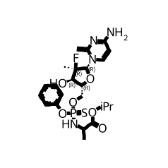 C=C1N=C(N)C=CN1[C@@H]1O[C@H](COP(=S)(NC(C)C(=O)OC(C)C)Oc2ccccc2)[C@@H](O)[C@@]1(C)F